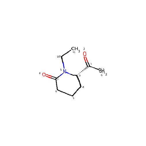 BC(=O)[C@@H]1CCCC(=O)N1CC